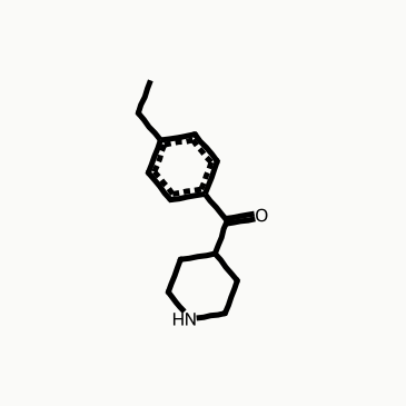 CCc1ccc(C(=O)C2CCNCC2)cc1